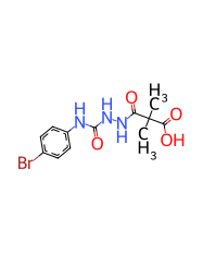 CC(C)(C(=O)O)C(=O)NNC(=O)Nc1ccc(Br)cc1